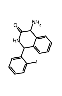 NC1C(=O)NC(c2ccccc2I)c2ccccc21